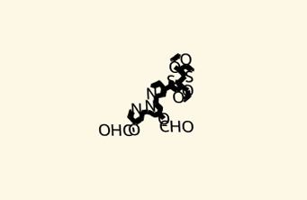 O=COc1ccnc(-c2cc(OC=O)cc(-c3cc(-c4sc(-c5scc6c5OCCO6)c5c4OCCO5)ccn3)n2)c1